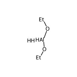 CC[O][AlH][O]CC.[HH]